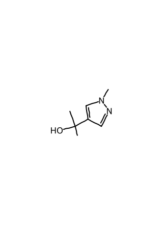 Cn1cc(C(C)(C)O)cn1